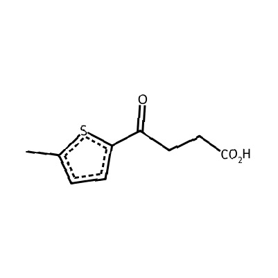 Cc1ccc(C(=O)CCC(=O)O)s1